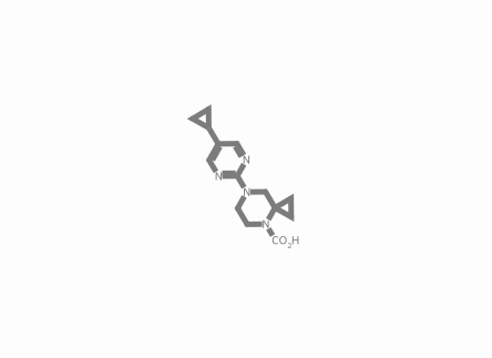 O=C(O)N1CCN(c2ncc(C3CC3)cn2)CC12CC2